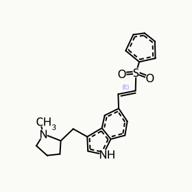 CN1CCCC1Cc1c[nH]c2ccc(/C=C/S(=O)(=O)c3ccccc3)cc12